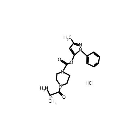 Cc1cc(OC(=O)N2CCN(C(=O)[C@H](C)N)CC2)n(-c2ccccc2)n1.Cl